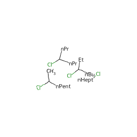 CCCC(Cl)CCC.CCCCC(Cl)CC.CCCCCC(C)Cl.CCCCCCCCl